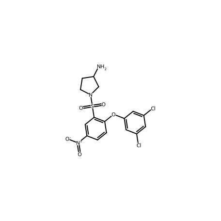 NC1CCN(S(=O)(=O)c2cc([N+](=O)[O-])ccc2Oc2cc(Cl)cc(Cl)c2)C1